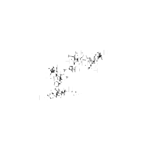 CCc1nonc1C(=O)N[C@H](C(=O)Nc1ccc([C@H](C)[C@@H](NC(=O)[C@H](C)OC)C(=O)N2CCN(C)CC2)cc1F)C(C1CC1)C1CC1c1cc(C(=O)N[C@H](C(=O)Nc2ccc([C@H](C)[C@@H](NC(=O)[C@@H](C)F)C(=O)N3CCN(C)[C@H](C)C3)cc2F)C(C2CC2)C2CC2)n(CC)n1